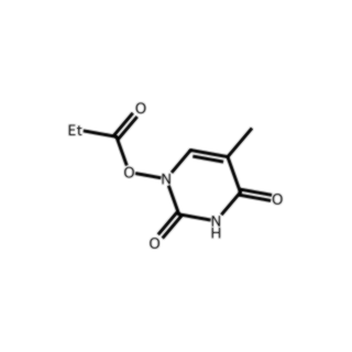 CCC(=O)On1cc(C)c(=O)[nH]c1=O